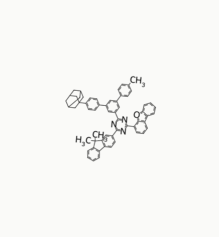 Cc1ccc(-c2cc(-c3ccc(C45CC6CC(CC(C6)C4)C5)cc3)cc(-c3nc(-c4ccc5c(c4)C(C)(C)c4ccccc4-5)nc(-c4cccc5c4oc4ccccc45)n3)c2)cc1